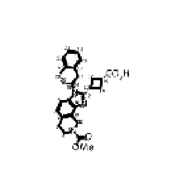 COC(=O)N1CCc2ccc3c(nc([C@H]4C[C@@H](C(=O)O)C4)n3[C@@H](C)Cc3ccccc3C)c2C1